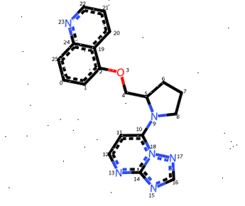 c1cc(OCC2CCCN2c2ccnc3ncnn23)c2cccnc2c1